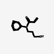 C=CC(=O)N(CCCO)c1ccccc1